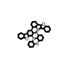 c1ccc2c(c1)Sc1cccc3c1N2c1c2c(cc4c1oc1ccccc14)-c1cccc4c5oc6ccccc6c5n(c14)B32